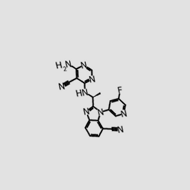 C[C@H](Nc1ncnc(N)c1C#N)c1nc2cccc(C#N)c2n1-c1cncc(F)c1